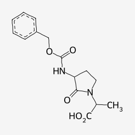 CC(C(=O)O)N1CCC(NC(=O)OCc2ccccc2)C1=O